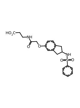 O=C(O)CCNC(=O)COc1ccc2c(c1)CC(NS(=O)(=O)c1ccccc1)C2